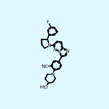 N#Cc1cc(-c2cnc3ccc(N4CCCC4c4cccc(F)c4)nn23)ccc1N1CCC(O)CC1